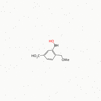 COCc1ccc(C(=O)O)cc1BO